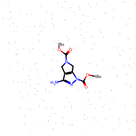 CC(C)(C)OC(=O)N1Cc2c(N)nn(C(=O)OC(C)(C)C)c2C1